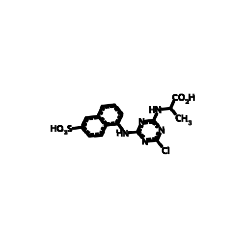 CC(Nc1nc(Cl)nc(Nc2cccc3cc(S(=O)(=O)O)ccc23)n1)C(=O)O